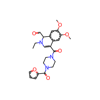 CCN1C=C(C(=O)N2CCN(C(=O)c3ccco3)CC2)c2cc(OC)c(OC)cc2C1C=O